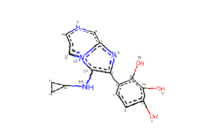 Oc1ccc(-c2nc3cnccn3c2NC2CC2)c(O)c1O